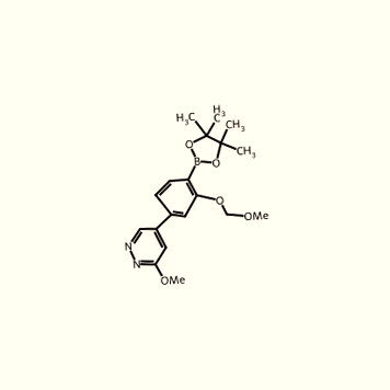 COCOc1cc(-c2cnnc(OC)c2)ccc1B1OC(C)(C)C(C)(C)O1